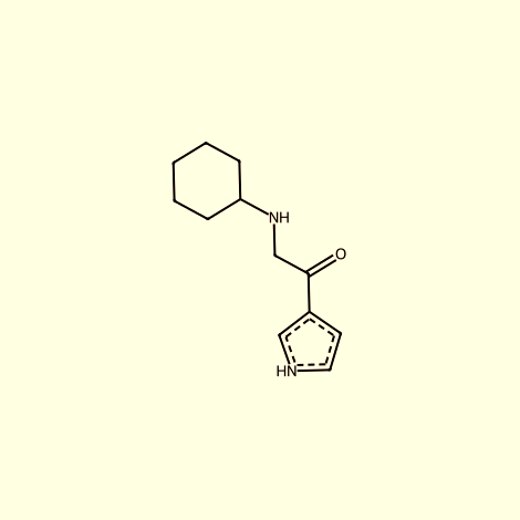 O=C(CNC1CCCCC1)c1cc[nH]c1